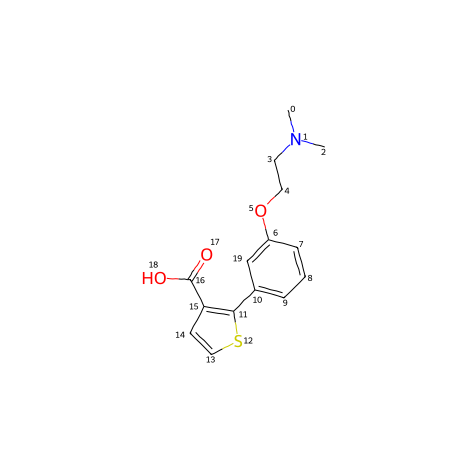 CN(C)CCOc1cccc(-c2sccc2C(=O)O)c1